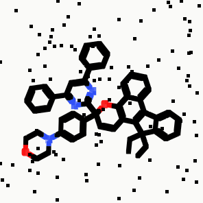 CCC1(CC)c2ccccc2-c2c1c1c(c3ccccc23)OC(c2ccc(N3CCOCC3)cc2)(c2nc(-c3ccccc3)cc(-c3ccccc3)n2)C=C1